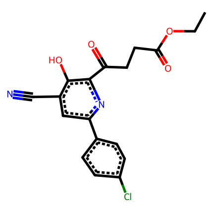 CCOC(=O)CCC(=O)c1nc(-c2ccc(Cl)cc2)cc(C#N)c1O